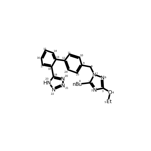 CCCCc1nc(OCC)nn1Cc1ccc(-c2ccccc2-c2nnn[nH]2)cc1